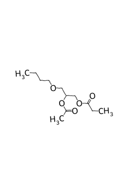 CCCCOCC(COC(=O)CC)OC(C)=O